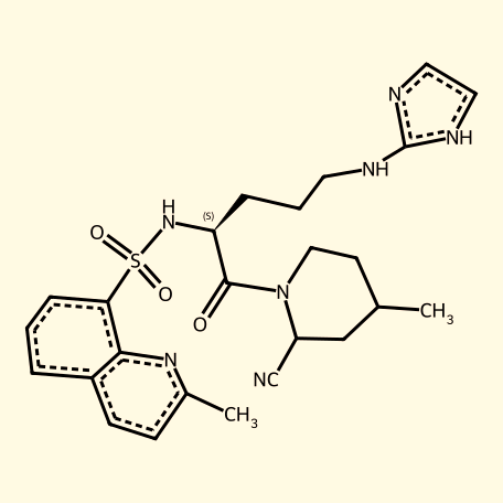 Cc1ccc2cccc(S(=O)(=O)N[C@@H](CCCNc3ncc[nH]3)C(=O)N3CCC(C)CC3C#N)c2n1